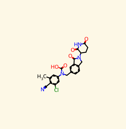 Cc1cc(N(Cc2ccc3c(c2)C(=O)N(C2CCC(=O)NC2=O)C3)C(=O)O)cc(Cl)c1C#N